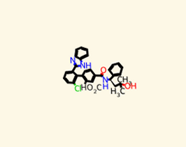 CC(C)(O)C[C@@H](NC(=O)c1ccc(-c2c(Cl)cccc2-c2nc3ccccc3[nH]2)c(C(=O)O)c1)c1ccccc1